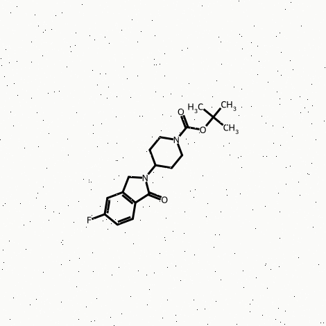 CC(C)(C)OC(=O)N1CCC(N2Cc3cc(F)ccc3C2=O)CC1